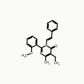 CCc1c(C)nc(-c2ccccc2OC)n(C=Cc2ccccc2)c1=O